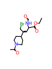 CCOC(=O)C(C=C(CBr)C1CCN(C(C)=O)CC1)NC=O